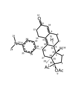 CC(=O)O[C@]1(C(C)=O)CC[C@H]2[C@@H]3CCC4=CC(=O)CCC4=C3[C@@H](c3ccc(N(C)C)cc3)C[C@@]21C